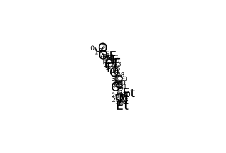 C=CC(=O)OCC(F)(F)C(F)(F)C(F)(F)COc1ccc2cc(-c3ccc(CC)nc3CC)oc2c1